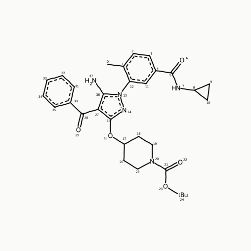 Cc1ccc(C(=O)NC2CC2)cc1-n1nc(OC2CCN(C(=O)OC(C)(C)C)CC2)c(C(=O)c2ccccc2)c1N